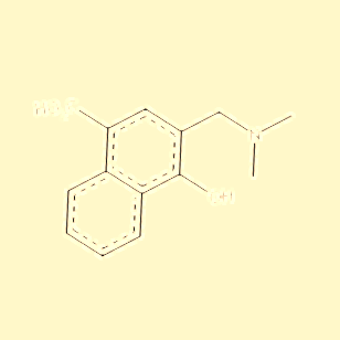 CN(C)Cc1cc(C(=O)O)c2ccccc2c1O